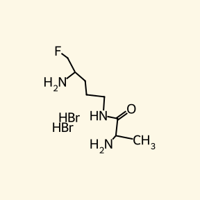 Br.Br.CC(N)C(=O)NCCCC(N)CF